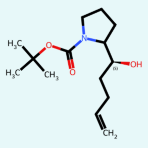 C=CCC[C@H](O)C1CCCN1C(=O)OC(C)(C)C